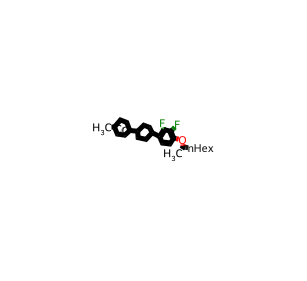 CCCCCCC(C)Oc1ccc(C2CCC(C34CCC(C)(CC3)CC4)CC2)c(F)c1F